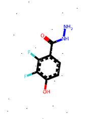 NNC(=O)c1ccc(O)c(F)c1F